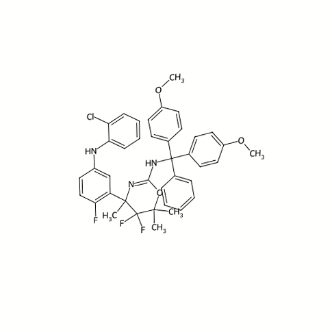 COc1ccc(C(NC2=NC(C)(c3cc(Nc4ccccc4Cl)ccc3F)C(F)(F)C(C)(C)O2)(c2ccccc2)c2ccc(OC)cc2)cc1